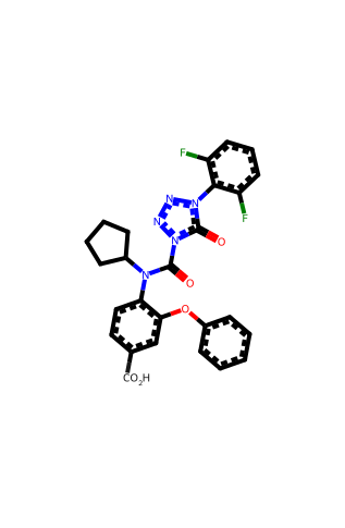 O=C(O)c1ccc(N(C(=O)n2nnn(-c3c(F)cccc3F)c2=O)C2CCCC2)c(Oc2ccccc2)c1